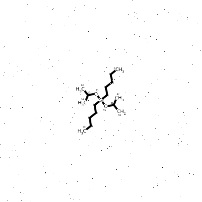 CCCCC[Si](CCCCC)(OC(C)C)OC(C)C